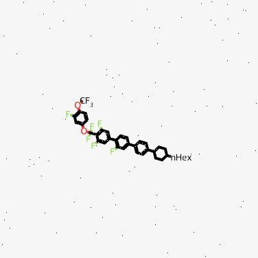 CCCCCCC1CCC(c2ccc(-c3ccc(-c4cc(F)c(C(F)(F)Oc5ccc(OC(F)(F)F)c(F)c5)c(F)c4)c(F)c3)cc2)CC1